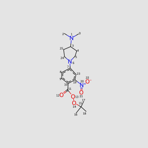 CN(C)C1CCN(c2ccc(C(=O)OOC(C)(C)C)c([N+](=O)[O-])c2)CC1